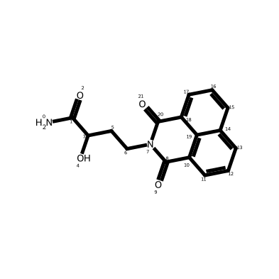 NC(=O)C(O)CCN1C(=O)c2cccc3cccc(c23)C1=O